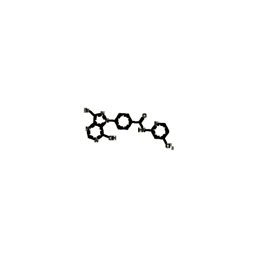 O=C(Nc1cc(C(F)(F)F)ccn1)c1ccc(-n2nc(Br)c3ncnc(O)c32)cc1